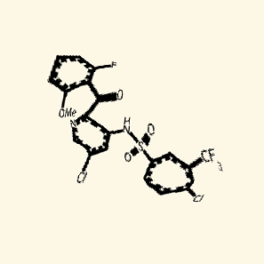 COc1cccc(F)c1C(=O)c1ncc(Cl)cc1NS(=O)(=O)c1ccc(Cl)c(C(F)(F)F)c1